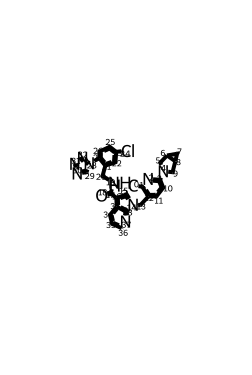 Cc1nc(N2CC3CC3C2)ccc1Cn1cc(C(=O)NCc2cc(Cl)ccc2-n2cnnn2)c2cccnc21